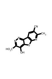 Cc1nc2sc3c(O)c(C(=O)O)nnc3c2cc1C#N